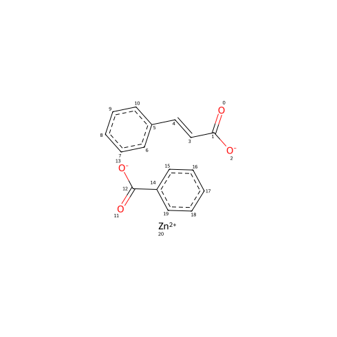 O=C([O-])C=Cc1ccccc1.O=C([O-])c1ccccc1.[Zn+2]